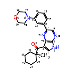 CC1(C(=O)c2c[nH]c3ncc(-c4cccc(N5CCOCC5)c4)nc23)CCCCC1